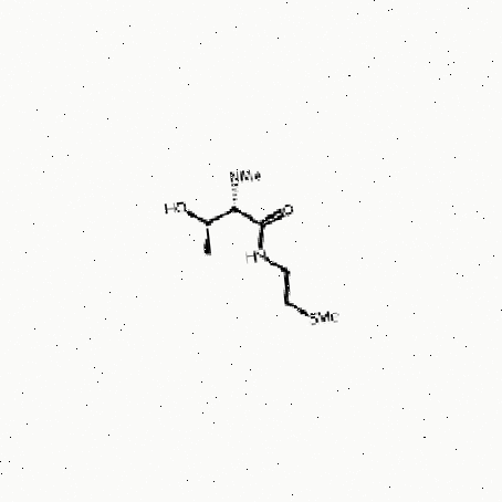 CN[C@H](C(=O)NCCSC)[C@@H](C)O